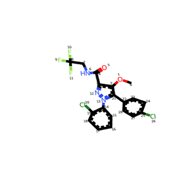 COc1c(C(=O)NCC(F)(F)F)nn(-c2ccccc2Cl)c1-c1ccc(Cl)cc1